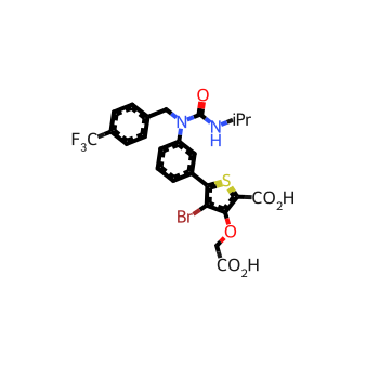 CC(C)NC(=O)N(Cc1ccc(C(F)(F)F)cc1)c1cccc(-c2sc(C(=O)O)c(OCC(=O)O)c2Br)c1